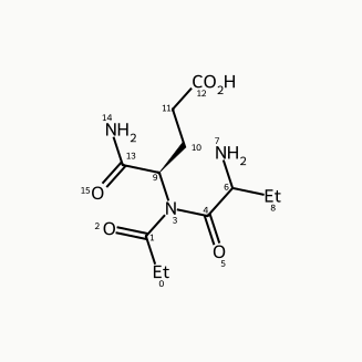 CCC(=O)N(C(=O)C(N)CC)[C@H](CCC(=O)O)C(N)=O